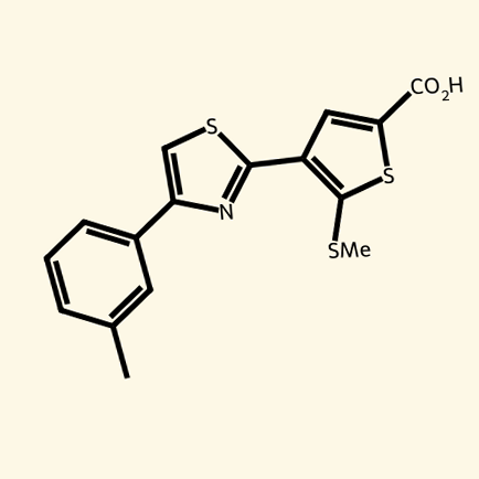 CSc1sc(C(=O)O)cc1-c1nc(-c2cccc(C)c2)cs1